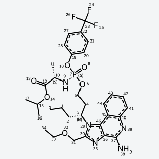 CCC[C@H](CCO[P@@](=O)(N[C@@H](C)C(=O)OC(C)C)Oc1ccc(C(F)(F)F)cc1)n1c(COCC)nc2c(N)nc3ccccc3c21